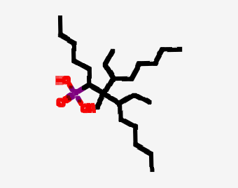 CCCCCC(CC)C(C)(C(CC)CCCCC)C(CCCCC)P(=O)(O)O